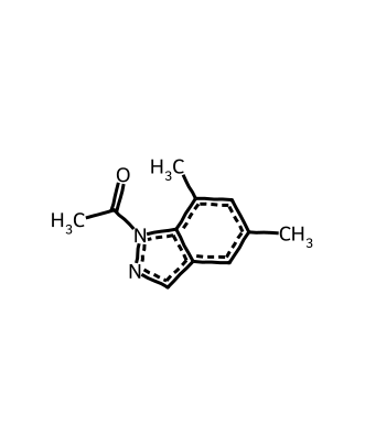 CC(=O)n1ncc2cc(C)cc(C)c21